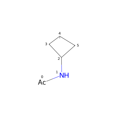 CC(=O)NC1C[CH]C1